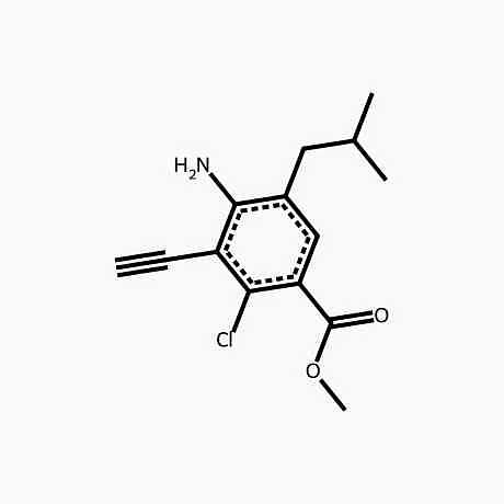 C#Cc1c(N)c(CC(C)C)cc(C(=O)OC)c1Cl